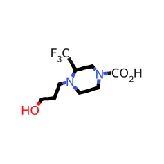 O=C(O)N1CCN(CCCO)C(C(F)(F)F)C1